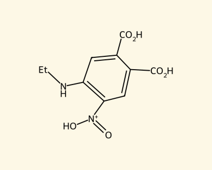 CCNc1cc(C(=O)O)c(C(=O)O)cc1[N+](=O)O